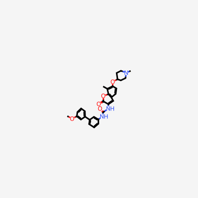 COc1cccc(-c2cccc(NC(=O)Nc3cc4ccc(OC5CCN(C)CC5)c(C)c4oc3=O)c2)c1